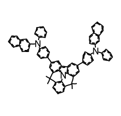 CC1(C)c2cccc3c2-n2c4c1cc(-c1ccc(N(c5ccccc5)c5ccc6ccccc6c5)cc1)cc4c1cc(-c4ccc(N(c5ccccc5)c5ccc6ccccc6c5)cc4)cc(c12)C3(C)C